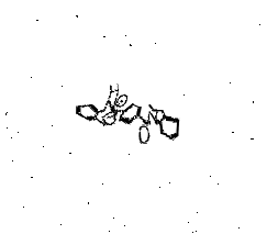 Cc1ccccc1NS(=O)(=O)c1ccc(C(=O)N2c3ccccc3CC2C)cc1